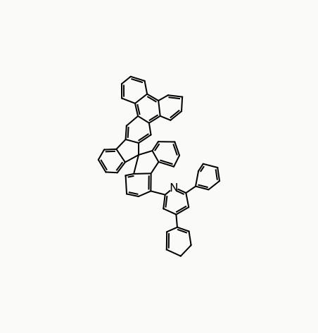 C1=CC(c2cc(-c3ccccc3)nc(-c3cccc4c3-c3ccccc3C43c4ccccc4-c4cc5c6ccccc6c6ccccc6c5cc43)c2)=CCC1